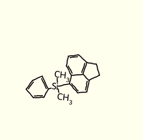 C[Si](C)(c1ccccc1)c1ccc2c3c(cccc13)CC2